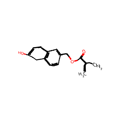 C=C(C)C(=O)OCc1ccc2c(c1)CC=C(O)C2